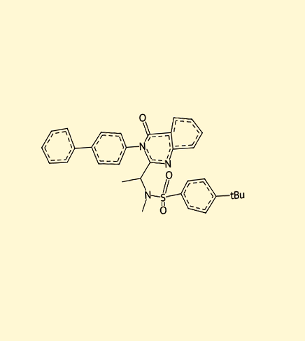 CC(c1nc2ccccc2c(=O)n1-c1ccc(-c2ccccc2)cc1)N(C)S(=O)(=O)c1ccc(C(C)(C)C)cc1